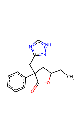 CCC1CC(Cc2nc[nH]n2)(c2ccccc2)C(=O)O1